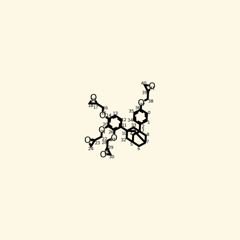 c1cc(C23CC4CC(C2)CC(c2ccc(OCC5CO5)c(OCC5CO5)c2OCC2CO2)(C4)C3)ccc1OCC1CO1